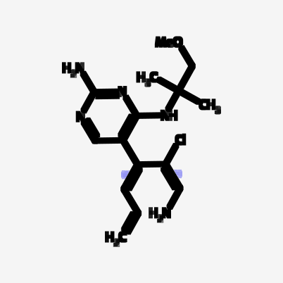 C=C/C=C(\C(Cl)=C/N)c1cnc(N)nc1NC(C)(C)COC